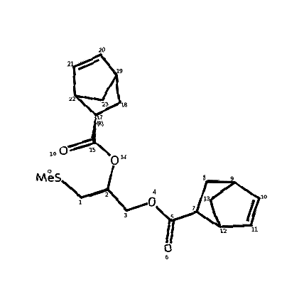 CSCC(COC(=O)C1CC2C=CC1C2)OC(=O)[C@@H]1CC2C=CC1C2